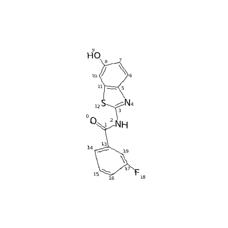 O=C(Nc1nc2ccc(O)cc2s1)c1cccc(F)c1